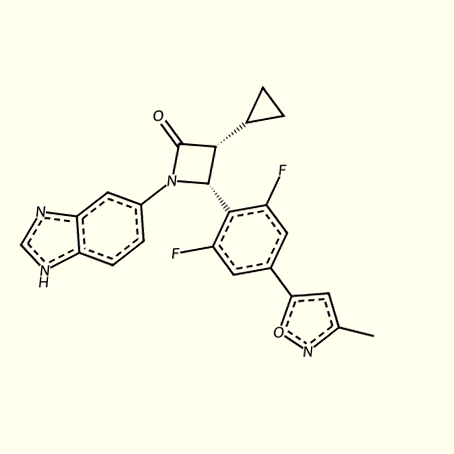 Cc1cc(-c2cc(F)c([C@H]3[C@@H](C4CC4)C(=O)N3c3ccc4[nH]cnc4c3)c(F)c2)on1